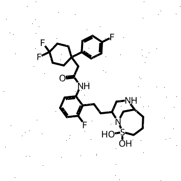 O=C(CC1(c2ccc(F)cc2)CCC(F)(F)CC1)Nc1cccc(F)c1CCC1CNC2CCCS(O)(O)N1C2